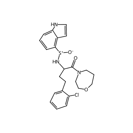 O=C(C(CCc1ccccc1Cl)N[S+]([O-])c1cccc2[nH]ccc12)N1CCCOCC1